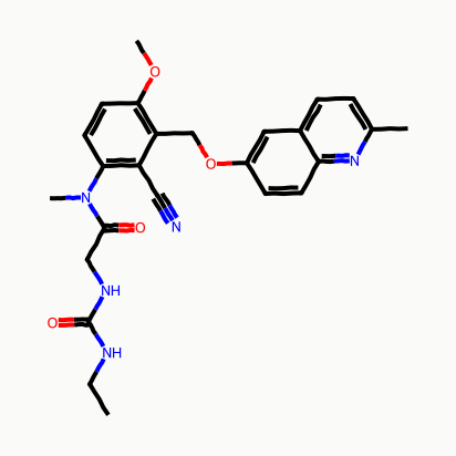 CCNC(=O)NCC(=O)N(C)c1ccc(OC)c(COc2ccc3nc(C)ccc3c2)c1C#N